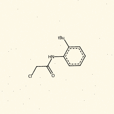 CC(C)(C)c1ccccc1NC(=O)CCl